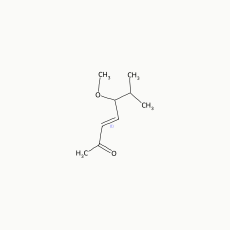 COC(/C=C/C(C)=O)C(C)C